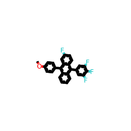 COc1ccc(-c2c3ccccc3c(-c3cc(F)c(F)c(F)c3)c3ccc(F)cc23)cc1